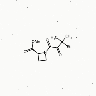 CCC(C)(C)C(=O)C(=O)N1CC[C@H]1C(=O)OC